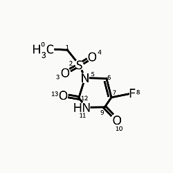 CCS(=O)(=O)n1cc(F)c(=O)[nH]c1=O